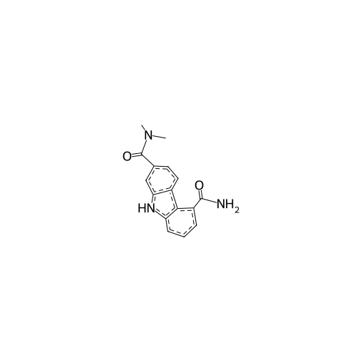 CN(C)C(=O)c1ccc2c(c1)[nH]c1cccc(C(N)=O)c12